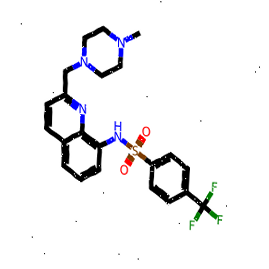 CN1CCN(Cc2ccc3cccc(NS(=O)(=O)c4ccc(C(F)(F)F)cc4)c3n2)CC1